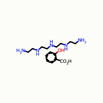 NCCNCCNCCNCCN.O=C(O)c1ccccc1O